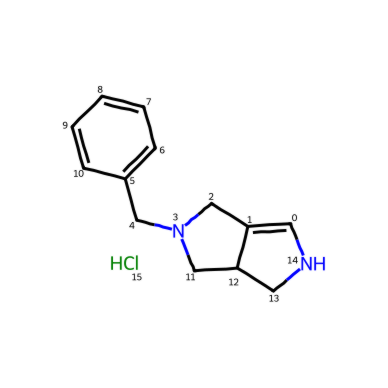 C1=C2CN(Cc3ccccc3)CC2CN1.Cl